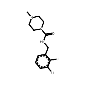 CN1CCN(C(=O)NCc2cccc(Cl)c2Cl)CC1